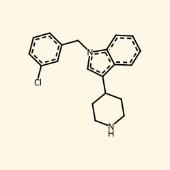 Clc1cccc(Cn2cc(C3CCNCC3)c3ccccc32)c1